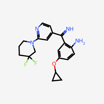 N=C(c1ccnc(N2CCCC(F)(F)C2)c1)c1cc(OC2CC2)ccc1N